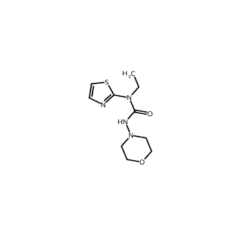 CCN(C(=O)NN1CCOCC1)c1nccs1